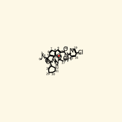 CN(C)C(=O)c1ccc2cc(C(=O)Nc3ccc(Cl)cn3)oc2c1N(C(=O)C1CCCCC1)N(C)C(=O)CO